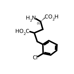 N[C@@H](CC(Cc1ccccc1Cl)C(=O)O)C(=O)O